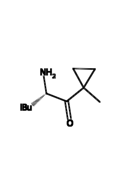 CCC(C)[C@H](N)C(=O)C1(C)CC1